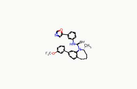 B=C(Nc1cccc(-c2cnco2)c1)N1c2cc(-c3cccc(OC(F)(F)F)c3)ccc2CCC[C@H]1C